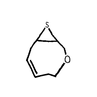 C1=CC2SC2OC1